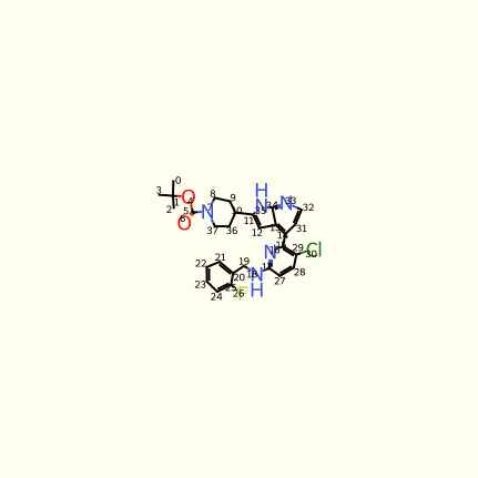 CC(C)(C)OC(=O)N1CCC(c2cc3c(-c4nc(NCc5ccccc5F)ccc4Cl)ccnc3[nH]2)CC1